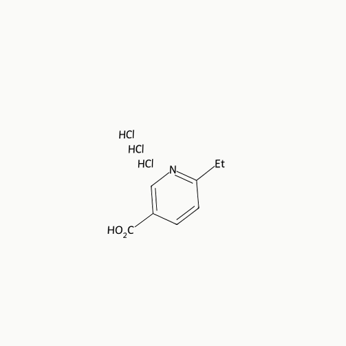 CCc1ccc(C(=O)O)cn1.Cl.Cl.Cl